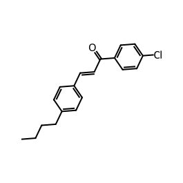 CCCCc1ccc(C=CC(=O)c2ccc(Cl)cc2)cc1